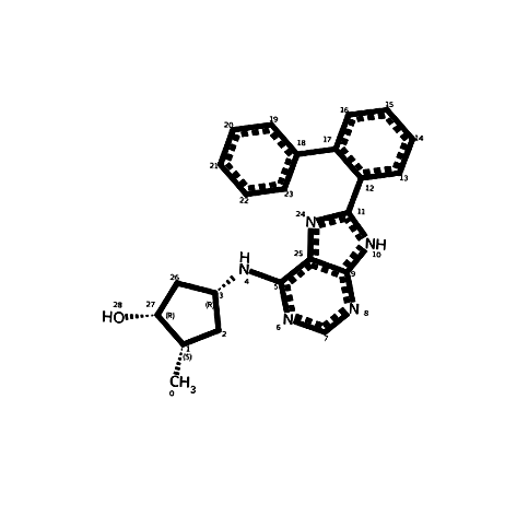 C[C@H]1C[C@@H](Nc2ncnc3[nH]c(-c4ccccc4-c4ccccc4)nc23)C[C@H]1O